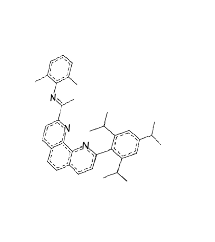 CC(=Nc1c(C)cccc1C)c1ccc2ccc3ccc(-c4c(C(C)C)cc(C(C)C)cc4C(C)C)nc3c2n1